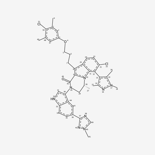 Cc1cc(OCCCc2c3n(c4c(-c5c(C)nn(C)c5C)c(Cl)ccc24)[C@H](C)CN(c2c[nH]c4ccc(-c5ncn(C)n5)cc24)C3=O)cc(C)c1Cl